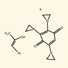 CC(=O)/C=C(/C)O.O=C1C=C(N2CC2)C(=O)C(N2CC2)=C1N1CC1.[Ir]